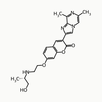 Cc1cn2cc(-c3cc4ccc(OCCN[C@@H](C)CO)cc4oc3=O)nc2c(C)n1